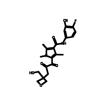 Cc1c(C(=O)Nc2ccc(F)c(C#N)c2)c(C)n(C)c1C(=O)C(=O)CC1(CO)COC1